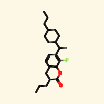 CCCC1CCC(C(C)c2ccc3c(c2F)OC(=O)C(CCC)C3)CC1